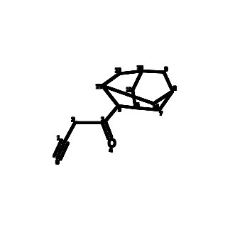 C#CCC(=O)C1C2CC3CC(C2)CC1C3